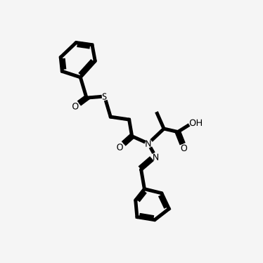 CC(C(=O)O)N(N=Cc1ccccc1)C(=O)CCSC(=O)c1ccccc1